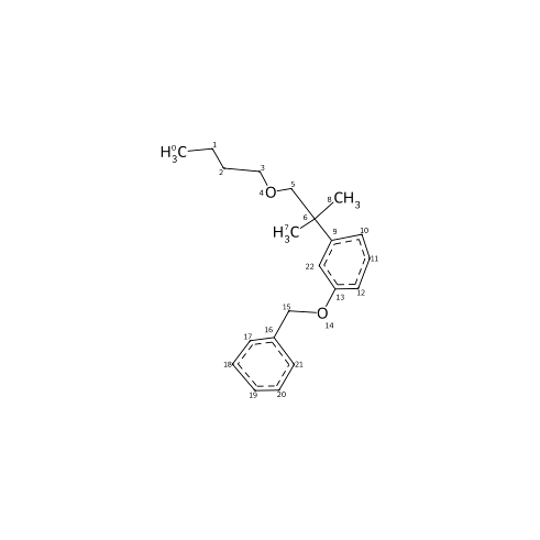 CCCCOCC(C)(C)c1cccc(OCc2ccccc2)c1